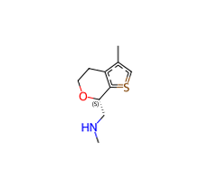 CNC[C@@H]1OCCc2c(C)csc21